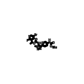 CC(OC(=O)Nc1c(-c2ccc(NC(=O)OC(C)(C)C)cn2)nnn1C)c1cc(Br)cnc1F